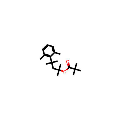 Cc1cccc(C)c1C(C)(C)CC(C)(C)OC(=O)C(C)(C)C